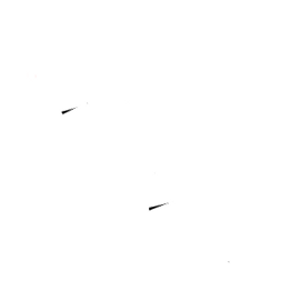 C[C@]12CCC(=O)CC1C(=O)CC1C2CC[C@]2(C)C(=O)[C@H](F)CC12